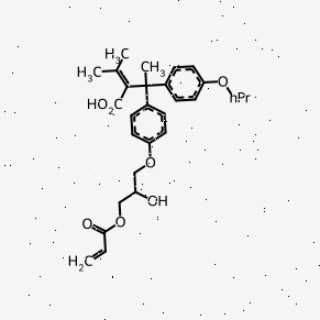 C=CC(=O)OCC(O)COc1ccc(C(C)(C(C(=O)O)=C(C)C)c2ccc(OCCC)cc2)cc1